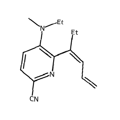 C=C/C=C(/CC)c1nc(C#N)ccc1N(C)CC